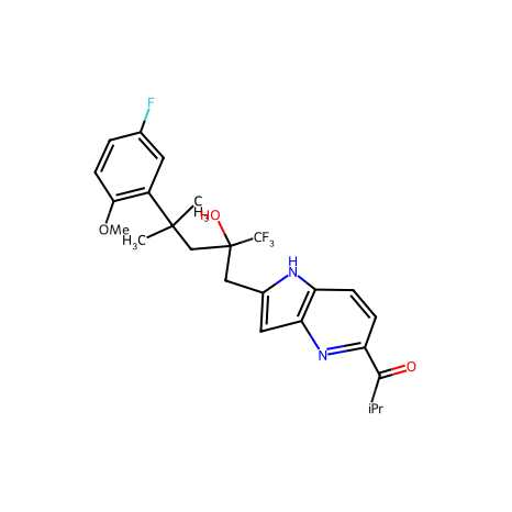 COc1ccc(F)cc1C(C)(C)CC(O)(Cc1cc2nc(C(=O)C(C)C)ccc2[nH]1)C(F)(F)F